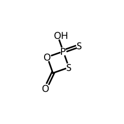 O=C1OP(O)(=S)S1